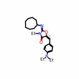 CCN1C(=O)/C(=C\c2ccc(N(CC)CC)cc2)OC1=NC1CCCCCCC1